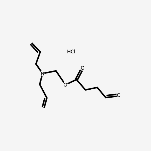 C=CCN(CC=C)COC(=O)CCC=O.Cl